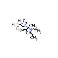 C=C([SiH3])C(C)(N(CC)CCC)N(CC)CCC